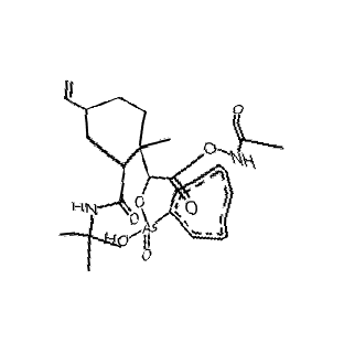 C=CC1CCC(C)(C(O[As](=O)(O)c2ccccc2)C(=O)ONC(C)=O)C(C(=O)NC(C)(C)C)C1